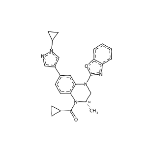 C[C@H]1CN(c2nc3ccccc3o2)c2cc(-c3cnn(C4CC4)c3)ccc2N1C(=O)C1CC1